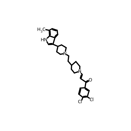 Cc1cccc2c(C3CCN(CCC4CCN(/C=C/C(=O)c5ccc(Cl)c(Cl)c5)CC4)CC3)c[nH]c12